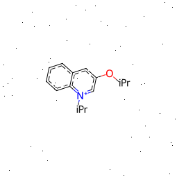 CC(C)Oc1cc2ccccc2[n+](C(C)C)c1